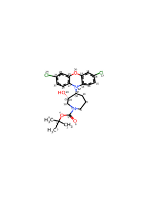 CC(C)(C)OC(=O)N1CCC[C@H](N2c3ccc(Cl)cc3Oc3cc(Cl)ccc32)[C@@H](O)C1